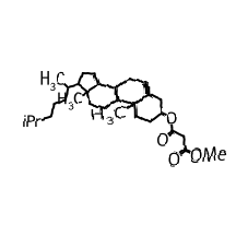 COC(=O)CC(=O)OC1CCC2(C)C(=CCC3C2CCC2(C)C(C(C)CCCC(C)C)CCC32)C1